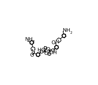 NCc1cccc(C2CCN(C(=O)c3cccc(OCC4(O)OC5(CCC5)C(O)(COc5cccc(C(=O)N6CCC(c7cccc(CN)c7)CC6)c5)OC45CCC5)c3)CC2)c1